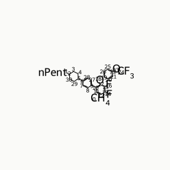 C.CCCCCC1CCC(c2ccc(-c3ccc(F)c(F)c3Oc3ccc(OC(F)(F)F)cc3)cc2)CC1